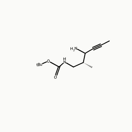 CC#CC(N)[C@H](C)CNC(=O)OC(C)(C)C